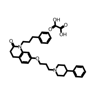 O=C(O)C(=O)O.O=C1CCc2ccc(OCCCN3CCC(c4ccccc4)CC3)cc2N1CCCc1ccccc1